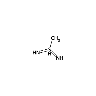 C[SH](=N)=N